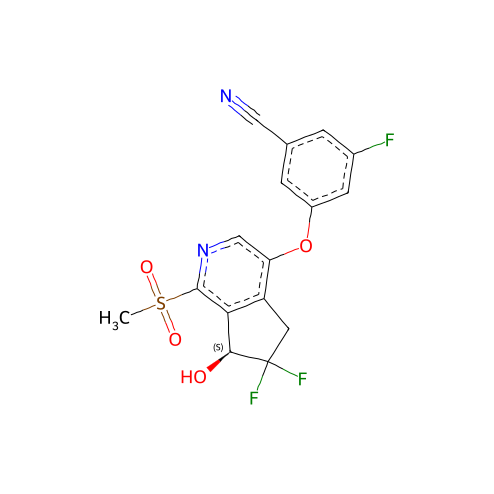 CS(=O)(=O)c1ncc(Oc2cc(F)cc(C#N)c2)c2c1[C@H](O)C(F)(F)C2